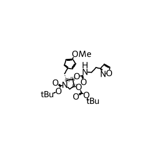 COc1ccc(C[C@@H]2[C@H](OC(=O)NCCc3ccon3)[C@@H](OC(=O)OC(C)(C)C)CN2C(=O)OC(C)(C)C)cc1